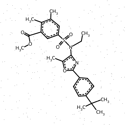 CCN(c1nc(-c2ccc(C(C)(C)C)cc2)oc1C)S(=O)(=O)c1cc(C)c(C)c(C(=O)OC)c1